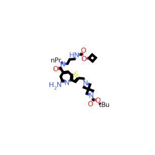 CCCN(CCCNC(=O)OC1CCC1)C(=O)C1=Cc2sc(CN3CC4(C3)CN(C(=O)OC(C)(C)C)C4)cc2N=C(N)C1